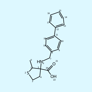 CC1SCCC1(NCc1ccc(-c2ccccc2)cc1)C(=O)O